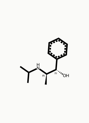 CC(C)N[C@H](C)[C@@H](O)c1ccccc1